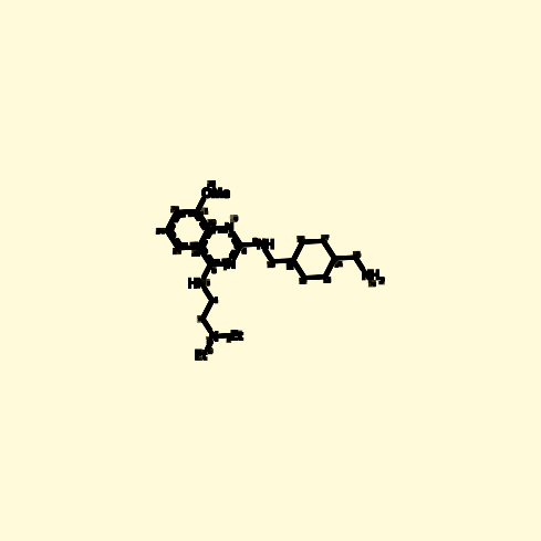 CCN(CC)CCNc1nc(NCC2CCC(CN)CC2)nc2c(OC)cccc12